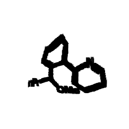 CCCC(OC)c1ccccc1-c1ccccn1